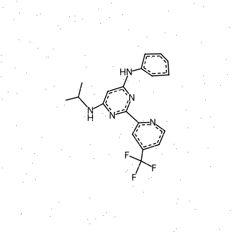 CC(C)Nc1cc(Nc2ccccc2)nc(-c2cc(C(F)(F)F)ccn2)n1